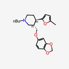 CCCCN1CC[C@@H](c2ccc(C)o2)[C@H](COc2ccc3c(c2)OCO3)C1